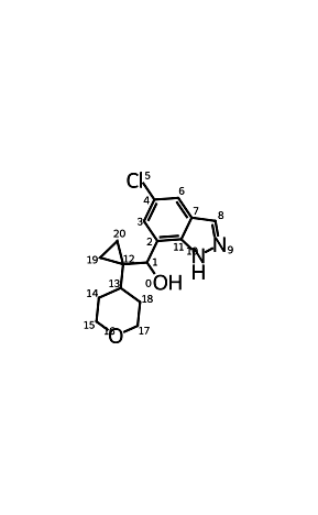 OC(c1cc(Cl)cc2cn[nH]c12)C1(C2CCOCC2)CC1